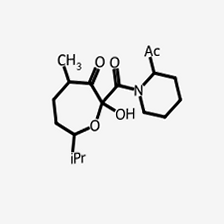 CC(=O)C1CCCCN1C(=O)C1(O)OC(C(C)C)CCC(C)C1=O